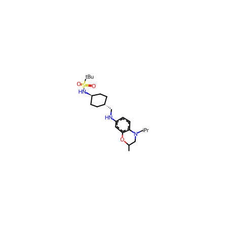 CC1CN(C(C)C)c2ccc(NC[C@H]3CC[C@H](NS(=O)(=O)C(C)(C)C)CC3)cc2O1